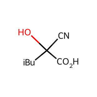 CCC(C)C(O)(C#N)C(=O)O